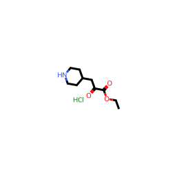 CCOC(=O)C(=O)CC1CCNCC1.Cl